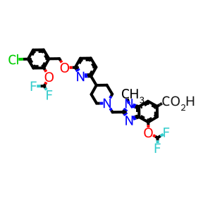 Cn1c(CN2CCC(c3cccc(OCc4ccc(Cl)cc4OC(F)F)n3)CC2)nc2c(OC(F)F)cc(C(=O)O)cc21